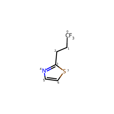 FC(F)(F)CCc1n[c]cs1